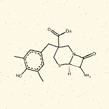 Cc1cc(CC2(C(=O)O)CS[C@@H]3C(N)C(=O)N3C2)cc(C)c1O